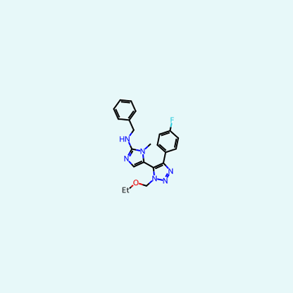 CCOCn1nnc(-c2ccc(F)cc2)c1-c1cnc(NCc2ccccc2)n1C